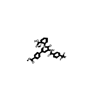 CC[C@]1(C(=O)O)C=CC=CC1n1cc(-c2ccc(C(=O)OC)cc2)cc(NC(=O)c2ccc(C(F)(F)F)cc2)c1=O